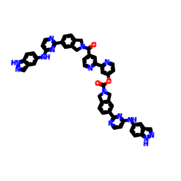 O=C(Oc1ccnc(-c2cc(C(=O)N3Cc4ccc(-c5nccc(Nc6ccc7[nH]ncc7c6)n5)cc4C3)ccn2)c1)N1Cc2ccc(-c3nccc(Nc4ccc5[nH]ncc5c4)n3)cc2C1